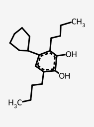 CCCCc1cc(C2CCCCC2)c(CCCC)c(O)c1O